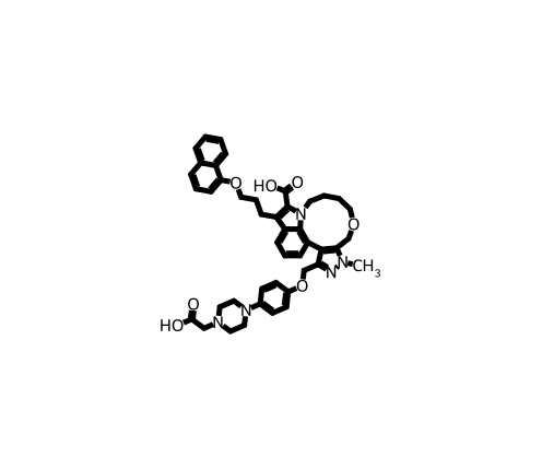 Cn1nc(COc2ccc(N3CCN(CC(=O)O)CC3)cc2)c2c1COCCCCn1c(C(=O)O)c(CCCOc3cccc4ccccc34)c3cccc-2c31